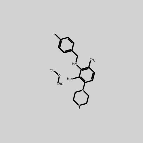 CC(C)(C)OC=O.Cc1ccc(N2CCNCC2)c(N)c1NCc1ccc(Cl)cc1